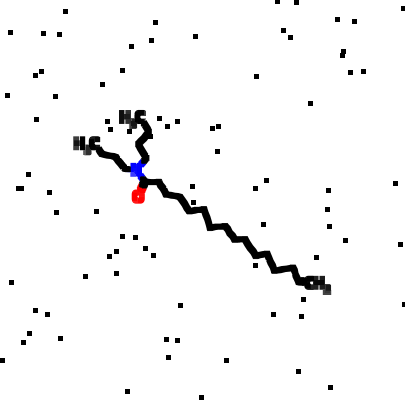 C=CCCCCCCCCCCCCCC(=O)N(CCCC)CCCC